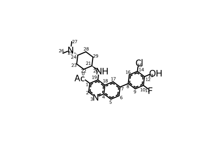 CC(=O)c1cnc2ccc(-c3cc(F)c(O)c(Cl)c3)cc2c1N[C@H]1CC[C@H](N(C)C)CC1